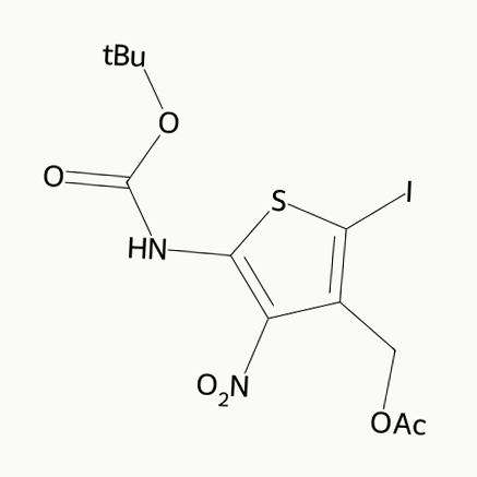 CC(=O)OCc1c(I)sc(NC(=O)OC(C)(C)C)c1[N+](=O)[O-]